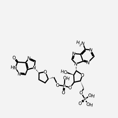 Nc1ncnc2c1ncn2[C@@H]1O[C@H](COP(=O)(O)O)C(OP(=O)(O)OC[C@@H]2CC[C@H](n3cnc4c(=O)[nH]ncc43)O2)[C@H]1O